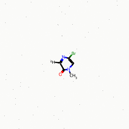 [2H]c1nc(Br)cn(C)c1=O